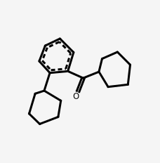 O=C(c1ccccc1C1CCCCC1)C1CCCCC1